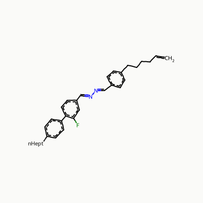 C=CCCCCc1ccc(C=NN=Cc2ccc(-c3ccc(CCCCCCC)cc3)c(F)c2)cc1